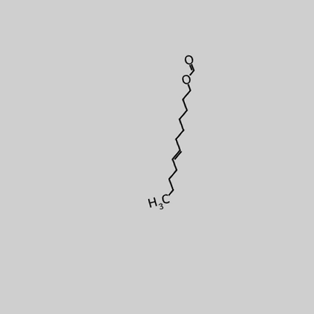 CCCC/C=C/CCCCCCOC=O